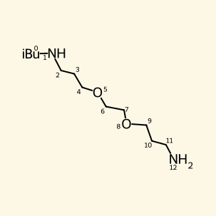 CCC(C)NCCCOCCOCCCN